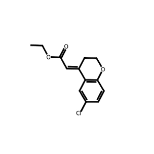 CCOC(=O)C=C1CCOc2ccc(Cl)cc21